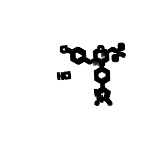 Cc1cc(C2=CCC(N3C[C@H](CS(C)(=O)=O)OC[C@@H]3Cc3ccc(Cl)cc3)CC2)nn1C.Cl